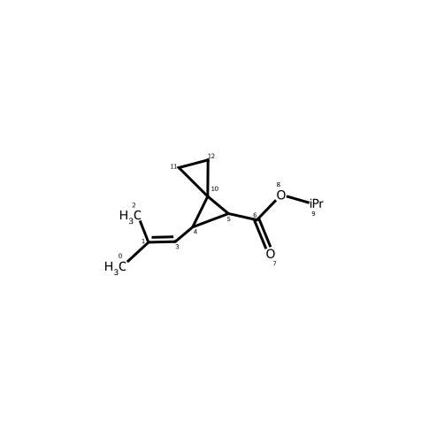 CC(C)=CC1C(C(=O)OC(C)C)C12CC2